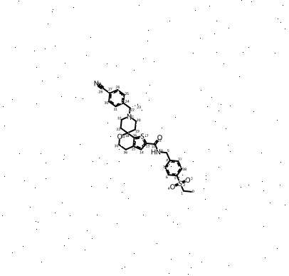 CCS(=O)(=O)c1ccc(CNC(=O)c2cc3c(s2)C2(CCN([C@@H](C)c4ccc(C#N)cc4)CC2)OCC3)cc1